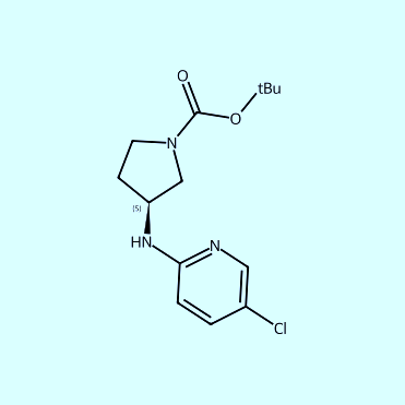 CC(C)(C)OC(=O)N1CC[C@H](Nc2ccc(Cl)cn2)C1